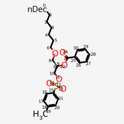 CCCCCCCCCCCCCCCCOC[C@H](COS(=O)(=O)c1ccc(C)cc1)OC(=O)c1ccccc1